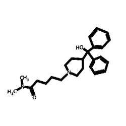 CN(C)C(=O)CCCCN1CCC(C(O)(c2ccccc2)c2ccccc2)CC1